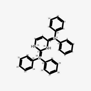 C1=CC(=[Si](c2ccccc2)c2ccccc2)NC(=[Si](c2ccccc2)c2ccccc2)N1